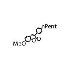 CCCCCc1ccc(-c2cc3ccc(OC)cc3oc2=O)cc1